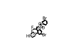 O=S(=O)(c1cccc(Br)c1)n1cc(C(F)F)c2c(N3CCNCC3)cc(Br)cc21